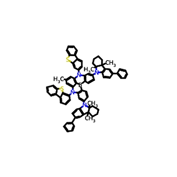 Cc1cc2c3c(c1)N(c1cccc4c1sc1ccccc14)c1cc(N4c5ccc(-c6ccccc6)cc5C5(C)CCCCC45C)ccc1B3c1ccc(N3c4ccc(-c5ccccc5)cc4C4(C)CCCCC34C)cc1N2c1ccc2c(c1)sc1ccccc12